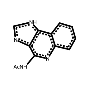 CC(=O)Nc1nc2ccccc2c2[nH]cnc12